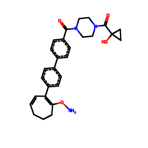 NOC1=C(c2ccc(-c3ccc(C(=O)N4CCN(C(=O)C5(O)CC5)CC4)cc3)cc2)C=CCCC1